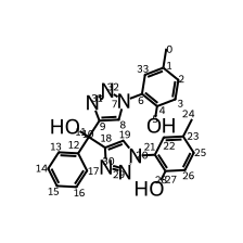 Cc1ccc(O)c(-n2cc(C(O)(c3ccccc3)c3cn(-c4cc(C)ccc4O)nn3)nn2)c1